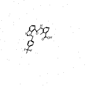 Cc1c(NC(=O)c2cccc3ncn(Cc4ccc(C(F)(F)F)cc4)c23)cccc1C(=O)O